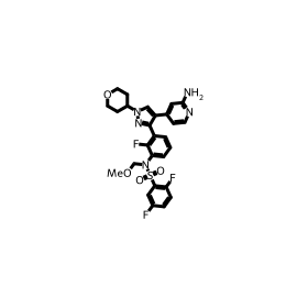 COCN(c1cccc(-c2nn(C3CCOCC3)cc2-c2ccnc(N)c2)c1F)S(=O)(=O)c1cc(F)ccc1F